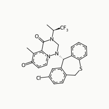 Cc1c2n(ccc1=O)N([C@H]1c3cc(Cl)ccc3CSc3ccccc31)CN([C@@H](C)C(F)(F)F)C2=O